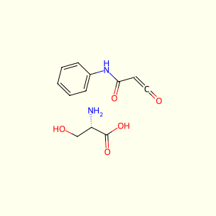 N[C@@H](CO)C(=O)O.O=C=CC(=O)Nc1ccccc1